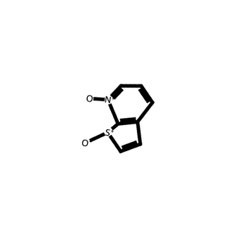 [O-][n+]1cccc2cc[s+]([O-])c21